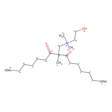 CCCCCCCCCCCCCCCC(=O)C(C)(C[N+](C)(C)CCO)C(=O)CCCCCCCCCCCCCCC